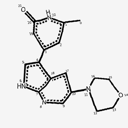 Cc1cc(-c2c[nH]c3ncc(N4CCOCC4)cc23)cc(=O)[nH]1